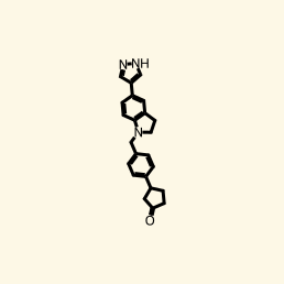 O=C1CCC(c2ccc(CN3CCc4cc(-c5cn[nH]c5)ccc43)cc2)C1